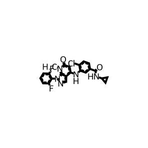 Cn1c(=O)cc(Nc2cc(C(=O)NC3CC3)ccc2Cl)c2cnn(-c3c(F)cccc3F)c21